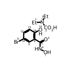 CCN(CC)C(=O)O.O=C(NO)c1cc(Br)ccc1O